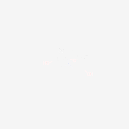 CCCCCCCCCCCC(=O)O.O=S(=O)([O-])O.OCCNCCO.[Na+]